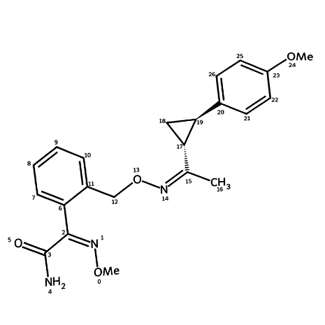 CON=C(C(N)=O)c1ccccc1CON=C(C)[C@@H]1C[C@H]1c1ccc(OC)cc1